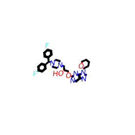 OC(COc1ncc2ncn(C3CCCCO3)c2n1)CN1CCN(C(c2ccc(F)cc2)c2ccc(F)cc2)CC1